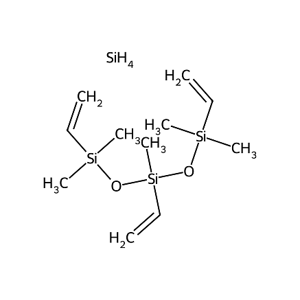 C=C[Si](C)(C)O[Si](C)(C=C)O[Si](C)(C)C=C.[SiH4]